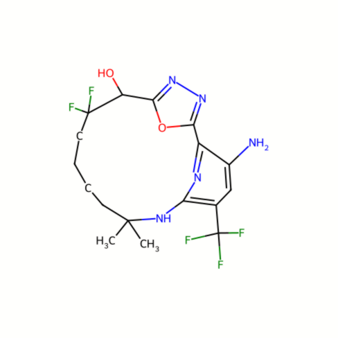 CC1(C)CCCCC(F)(F)C(O)c2nnc(o2)-c2nc(c(C(F)(F)F)cc2N)N1